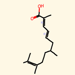 CC(C)=C(C)CCC(C)C/C=C/C=C(\C)C(=O)O